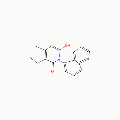 CCc1c(C)cc(O)n(-c2cccc3ccccc23)c1=O